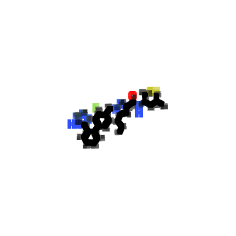 CCCc1cc(C(=O)N[C@@H](CS)CC(C)C)nn1Cc1ccc(-c2ccccc2-c2nnn[nH]2)cc1F